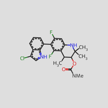 CNC(=O)OC1C(C)c2c(cc(F)c(-c3cccc4c(Cl)c[nH]c34)c2F)NC1(C)C